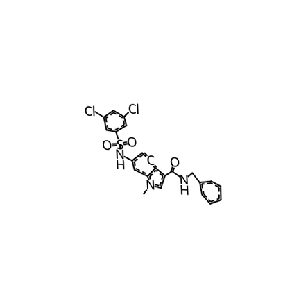 Cn1cc(C(=O)NCc2ccccc2)c2ccc(NS(=O)(=O)c3cc(Cl)cc(Cl)c3)cc21